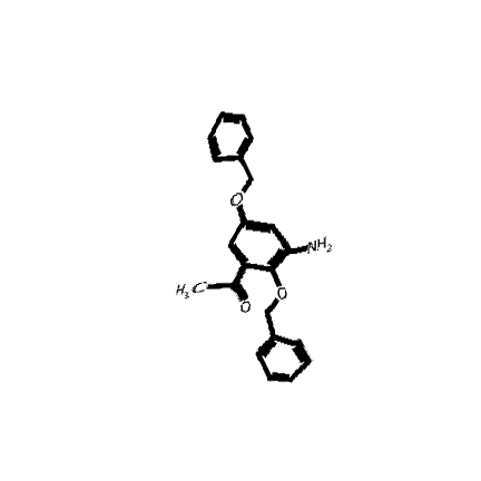 CC(=O)c1cc(OCc2ccccc2)cc(N)c1OCc1ccccc1